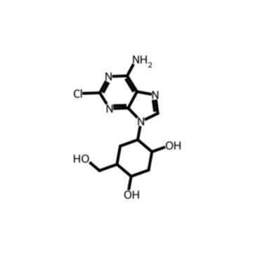 Nc1nc(Cl)nc2c1ncn2C1CC(CO)C(O)CC1O